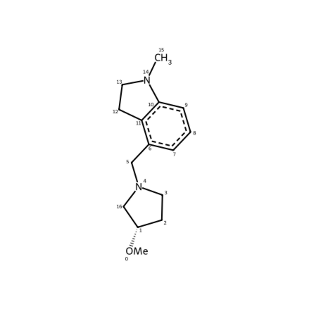 CO[C@H]1CCN(Cc2cccc3c2CCN3C)C1